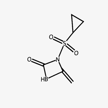 C=C1BC(=O)N1S(=O)(=O)C1CC1